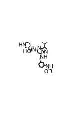 C=CC(=O)Nc1cccc(CNc2cc(NC[C@H]3CCNC[C@@H]3O)nc3c(C(C)C)cnn23)c1